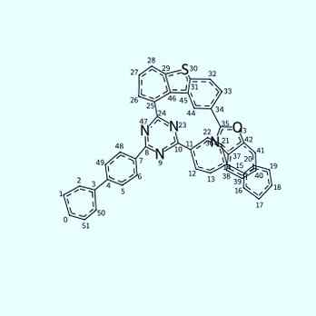 c1ccc(-c2ccc(-c3nc(-c4ccc(-c5ccccc5)cc4)nc(-c4cccc5sc6ccc(-c7nc8ccccc8o7)cc6c45)n3)cc2)cc1